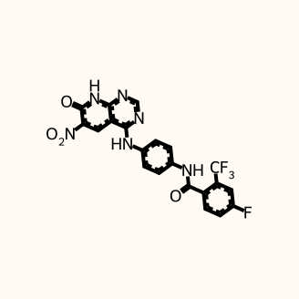 O=C(Nc1ccc(Nc2ncnc3[nH]c(=O)c([N+](=O)[O-])cc23)cc1)c1ccc(F)cc1C(F)(F)F